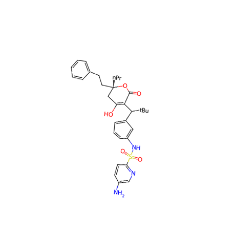 CCC[C@]1(CCc2ccccc2)CC(O)=C(C(c2cccc(NS(=O)(=O)c3ccc(N)cn3)c2)C(C)(C)C)C(=O)O1